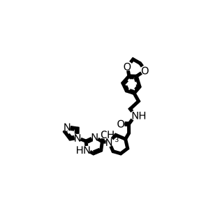 CC1(N2CCCC(CC(=O)NCCc3ccc4c(c3)OCCO4)C2)C=CNC(n2ccnc2)=N1